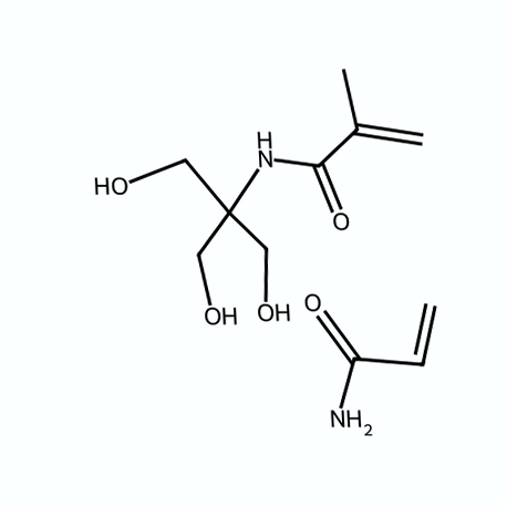 C=C(C)C(=O)NC(CO)(CO)CO.C=CC(N)=O